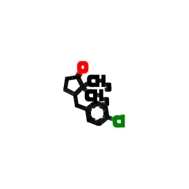 CC1(C)C(=O)CCC1Cc1ccc(Cl)cc1